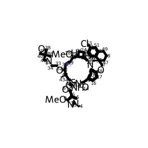 COc1nn(C)cc1C(=O)N[S@@]1(=O)=NC(=O)c2ccc3c(c2)N(C[C@@H]2CC[C@H]2[C@@H](OC)/C=C/[C@H](OCCN2CC4(COC4)C2)[C@H](C)C1)C[C@@]1(CCCc2cc(Cl)ccc21)CO3